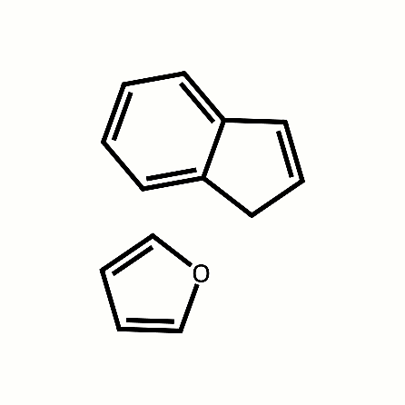 C1=Cc2ccccc2C1.c1ccoc1